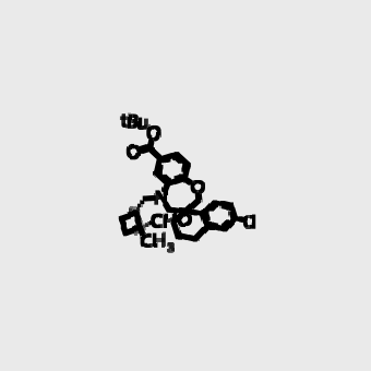 CC(C)(C)OC(=O)c1ccc2c(c1)N(C[C@H]1CC[C@@]1(C)C=O)CC1(CCCc3cc(Cl)ccc31)CO2